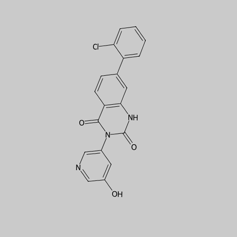 O=c1[nH]c2cc(-c3ccccc3Cl)ccc2c(=O)n1-c1cncc(O)c1